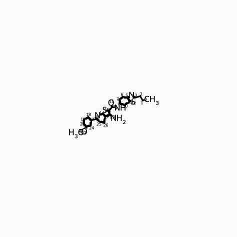 CCCc1nc2ccc(NC(=O)c3sc4nc(-c5cccc(OC)c5)ccc4c3N)cc2s1